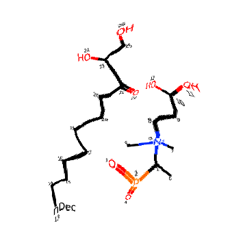 CC(P(=O)=O)[N+](C)(C)CCC(O)O.CCCCCCCCCCCCCCCCCC(=O)C(O)CO